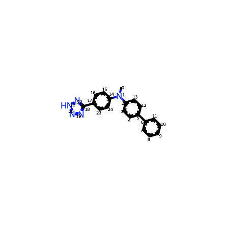 CN(c1ccc(-c2ccccc2)cc1)c1ccc(-c2nn[nH]n2)cc1